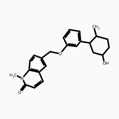 CC1CCC(O)CC1c1cccc(OCc2ccc3c(ccc(=O)n3C)c2)c1